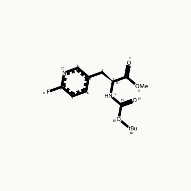 COC(=O)[C@H](Cc1ccc(F)nc1)NC(=O)OC(C)(C)C